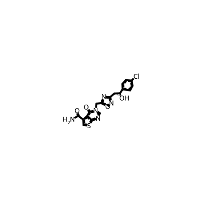 NC(=O)c1csc2ncn(Cc3nc(C[C@H](O)c4ccc(Cl)cc4)no3)c(=O)c12